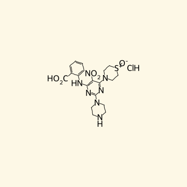 Cl.O=C(O)c1ccccc1Nc1nc(N2CCNCC2)nc(N2CC[S+]([O-])CC2)c1[N+](=O)[O-]